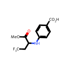 COC(=O)C(CC(F)(F)F)Nc1ccc(C(=O)O)cc1